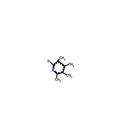 Cc1nc(Br)c(C)c(C)c1C